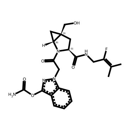 CC(C)=C(F)CNC(=O)[C@@H]1C[C@@]2(CO)C[C@H]2N1C(=O)Cn1nc(OC(N)=O)c2ccccc21